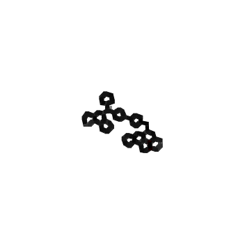 C(=C(\Cc1ccc(-c2ccc(N(c3ccccc3)c3cc4ccccc4c4ccccc34)cc2)cc1)c1cc2ccccc2c2ccccc12)/c1ccccc1